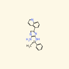 CC[C@@H](Nc1nc(-c2cccc3ncccc23)cnc1N)c1ccccc1